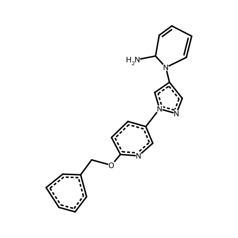 NC1C=CC=CN1c1cnn(-c2ccc(OCc3ccccc3)nc2)c1